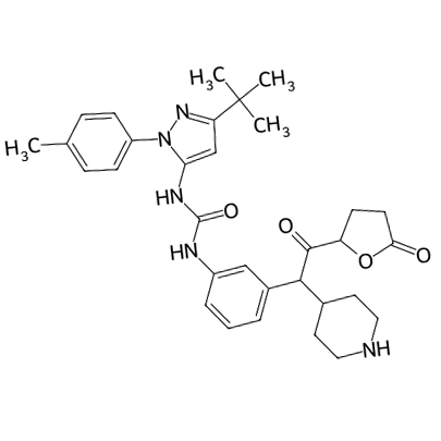 Cc1ccc(-n2nc(C(C)(C)C)cc2NC(=O)Nc2cccc(C(C(=O)C3CCC(=O)O3)C3CCNCC3)c2)cc1